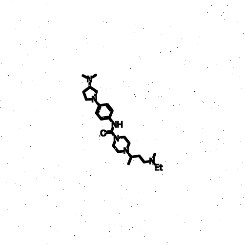 CCN(C)CCC(C)N1CCN(C(=O)Nc2ccc(N3CCC(N(C)C)C3)cc2)CC1